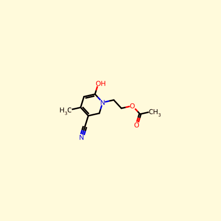 CC(=O)OCCN1CC(C#N)=C(C)C=C1O